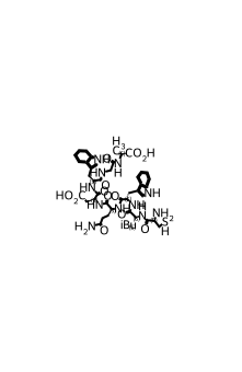 CC[C@H](C)[C@H](NC(=O)[C@@H](N)CS)C(=O)N[C@@H](Cc1c[nH]c2ccccc12)C(=O)N[C@@H](CCC(N)=O)C(=O)N[C@@H](CC(=O)O)C(=O)N[C@@H](Cc1c[nH]c2ccccc12)C(=O)NCC(=O)N[C@@H](C)C(=O)O